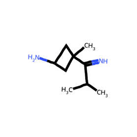 CC(C)C(=N)C1(C)CC(N)C1